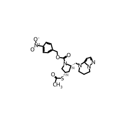 CC(=O)S[C@H]1C[C@@H](CN2CCCn3nccc32)N(C(=O)OCc2ccc([N+](=O)[O-])cc2)C1